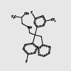 OC(CNCC(Cc1ccccc1)(c1cc(F)cc(C(F)(F)F)c1)c1ccc(F)cn1)C(F)(F)F